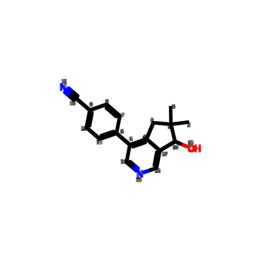 CC1(C)Cc2c(-c3ccc(C#N)cc3)cncc2C1O